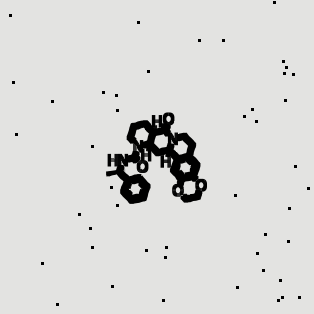 C[C@@H](NC(=O)N1CCC[C@H]2C(=O)N3CCc4cc5c(cc4[C@@H]3C[C@H]21)OCCO5)c1ccccc1